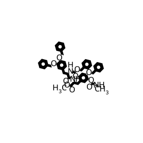 CNC(=O)Oc1cc(CC(NC(=O)C(Cc2ccc(OCc3ccccc3)c(OCc3ccccc3)c2)NC(=O)OCc2ccccc2)C(=O)OC)ccc1OCc1ccccc1